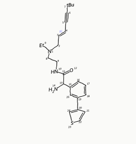 CCN(C/C=C/C#CC(C)(C)C)CCNC(=O)C(N)c1cccc(-c2ccsc2)c1